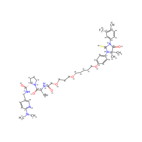 CN(C)c1ccc(CNC(=O)[C@@H]2CCCN2C(=O)C(NC(=O)COCCCOCCCCCOc2ccc(N3C(=S)N(c4ccc(C#N)c(C(F)(F)F)c4)C(=O)C3(C)C)cc2)C(C)(C)C)cn1